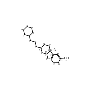 C[C@H]1CN(CCCC2CCCCC2)CC[C@@]1(C)c1cccc(O)c1